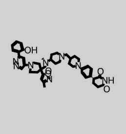 Cc1cc(C2(C(=O)N(C)C3CCN(CC4CCN(c5ccc([C@H]6CCC(=O)NC6=O)cc5)CC4)CC3)CCN(c3cnnc(-c4ccccc4O)c3)CC2)on1